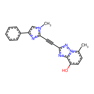 Cc1ccc(O)c2nc(C#Cc3nc(-c4ccccc4)cn3C)nn12